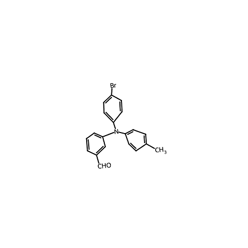 Cc1ccc(N(c2ccc(Br)cc2)c2cccc(C=O)c2)cc1